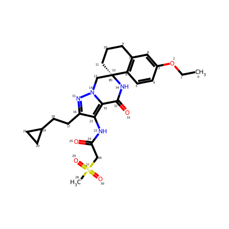 CCOc1ccc2c(c1)CCC[C@]21Cn2nc(CCC3CC3)c(NC(=O)CS(C)(=O)=O)c2C(=O)N1